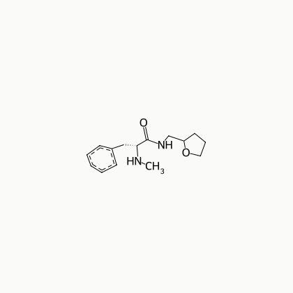 CN[C@H](Cc1ccccc1)C(=O)NCC1CCCO1